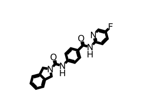 O=C(Nc1ccc(F)cn1)c1ccc(NC(=O)N2Cc3ccccc3C2)cc1